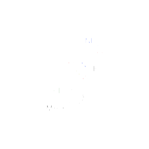 CCN(CC(N)=O)S(=O)(=O)Cc1cccc(OC)c1Cl